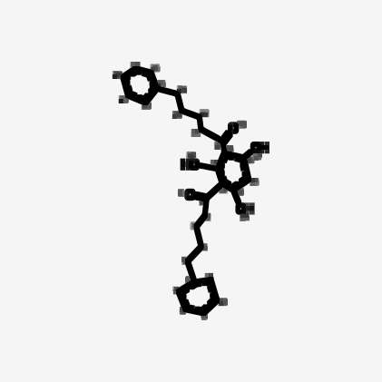 O=C(CCCCc1ccccc1)c1c(O)cc(O)c(C(=O)CCCCc2ccccc2)c1O